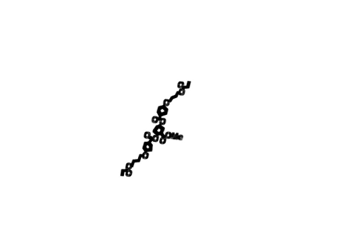 C=CC(=O)OCCCCOc1ccc(C(=O)Oc2ccc(OC(=O)c3ccc(OCCCCOC(=O)C=C)cc3)c(C(=O)OC)c2)cc1